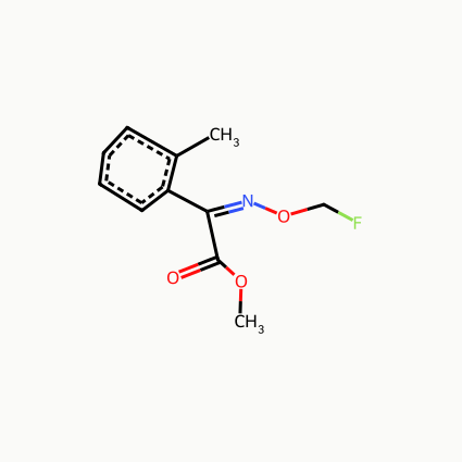 COC(=O)C(=NOCF)c1ccccc1C